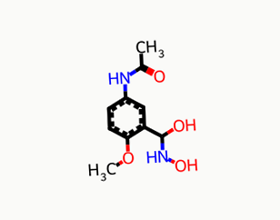 COc1ccc(NC(C)=O)cc1C(O)NO